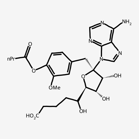 CCCC(=O)Oc1ccc(C[C@@]2(n3cnc4c(N)ncnc43)O[C@H](C(O)CCCC(=O)O)[C@@H](O)[C@H]2O)cc1OC